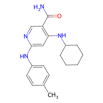 Cc1ccc(Nc2cc(NC3CCCCC3)c(C(N)=O)cn2)cc1